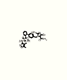 CCCc1nc(CC)c(C(N)=O)n1Cc1ccc(-c2ccccc2C(OCC)S(=O)(=O)Nc2noc(C)c2C)cc1